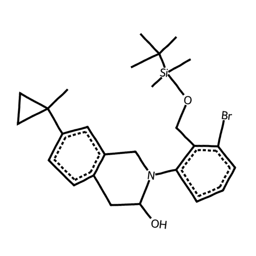 CC1(c2ccc3c(c2)CN(c2cccc(Br)c2CO[Si](C)(C)C(C)(C)C)C(O)C3)CC1